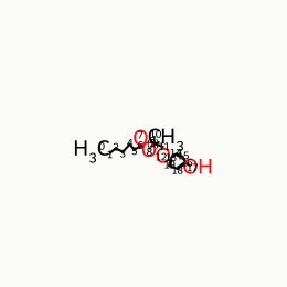 CCCCCCC(=O)O[C@@H](C)COc1ccc(O)cc1